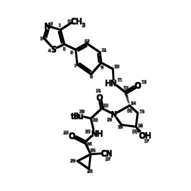 Cc1ncsc1-c1ccc(CNC(=O)[C@@H]2C[C@@H](O)CN2C(=O)C(NC(=O)C2(C#N)CC2)C(C)(C)C)cc1